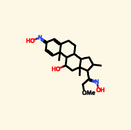 COC/C(=N\O)C1C(C)CC2C3CCC4=C/C(=N/O)C=CC4(C)C3C(O)CC21C